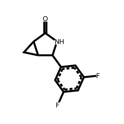 O=C1NC(c2cc(F)cc(F)c2)C2CC12